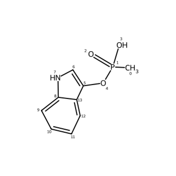 CP(=O)(O)Oc1c[nH]c2ccccc12